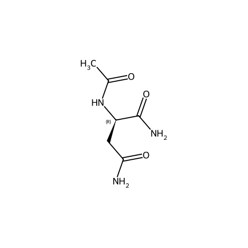 CC(=O)N[C@H](CC(N)=O)C(N)=O